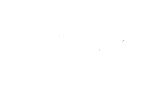 Cc1ccc2oc3ccc(C4CCC[C@H](C)C4)cc3c2c1